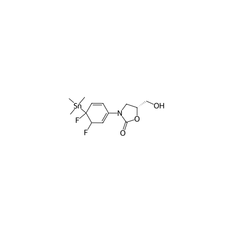 [CH3][Sn]([CH3])([CH3])[C]1(F)C=CC(N2C[C@H](CO)OC2=O)=CC1F